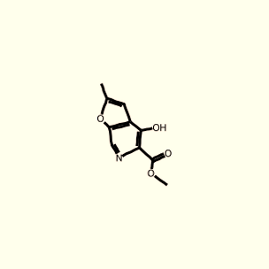 COC(=O)c1ncc2oc(C)cc2c1O